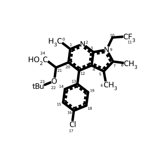 Cc1nc2c(c(C)c(C)n2CC(F)(F)F)c(-c2ccc(Cl)cc2)c1C(OC(C)(C)C)C(=O)O